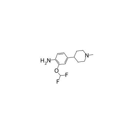 CN1CCC(c2ccc(N)c(OC(F)F)c2)CC1